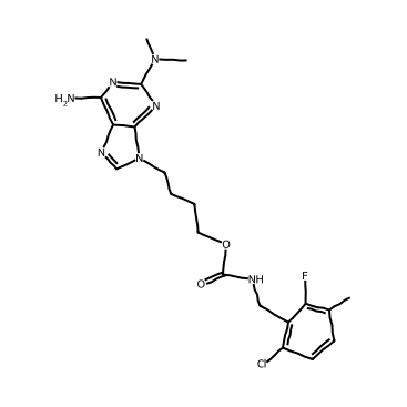 Cc1ccc(Cl)c(CNC(=O)OCCCCn2cnc3c(N)nc(N(C)C)nc32)c1F